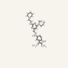 Cc1[nH]c2ccc(N/N=C/c3cc(N4CCOCC4)nc(OCCN4CCCCC4)n3)cc2c1C